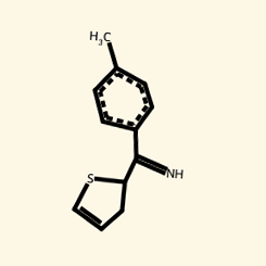 Cc1ccc(C(=N)C2CC=CS2)cc1